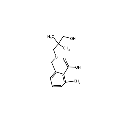 Cc1cccc(COCC(C)(C)CO)c1C(=O)O